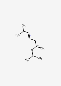 CC(C)/C=C/C[C@@H](C)OC(C)C